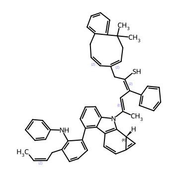 C/C=C\Cc1cccc(-c2cccc3c2c2c(n3/C(C)=C/C(=C(/S)CC3=C/CC(C)(C)c4ccccc4C/C=C\3)c3ccccc3)[C@@H]3C=C3C=C2)c1Nc1ccccc1